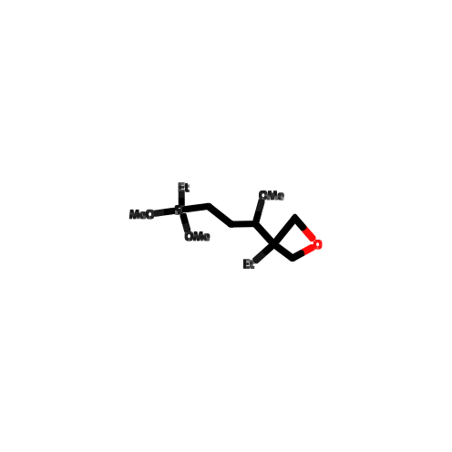 CCC1(C(CC[Si](CC)(OC)OC)OC)COC1